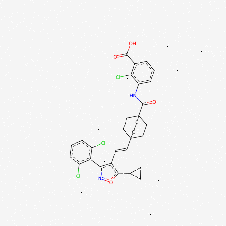 O=C(O)c1cccc(NC(=O)C23CCC(C=Cc4c(-c5c(Cl)cccc5Cl)noc4C4CC4)(CC2)CC3)c1Cl